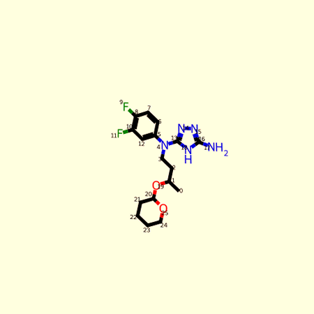 CC(CCN(c1ccc(F)c(F)c1)c1nnc(N)[nH]1)OC1CCCCO1